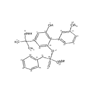 CCCCCCC(C)(C)c1cc(O)c(-c2cccc(C)c2)c(OP(=O)(Cc2ccccc2)OC)c1